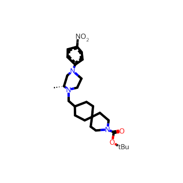 C[C@@H]1CN(c2ccc([N+](=O)[O-])cc2)CCN1CC1CCC2(CC1)CCN(C(=O)OC(C)(C)C)CC2